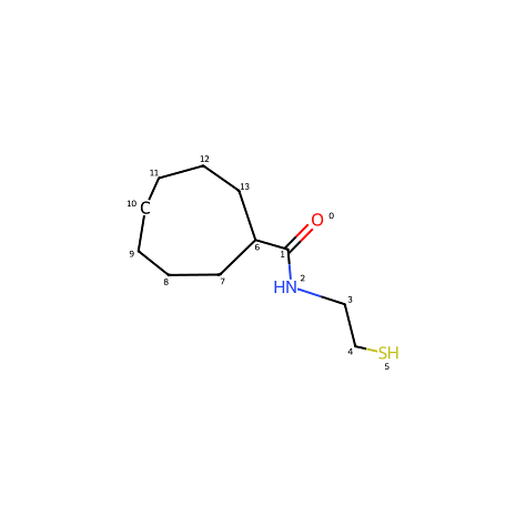 O=C(NCCS)C1CCCCCCC1